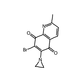 Cc1ccc2c(n1)C(=O)C(Br)=C(N1CC1)C2=O